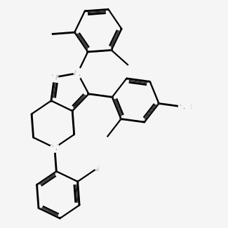 Cc1cc(N)ccc1-c1c2c(nn1-c1c(C)cccc1C)CCN(c1ccccc1C(C)C)C2